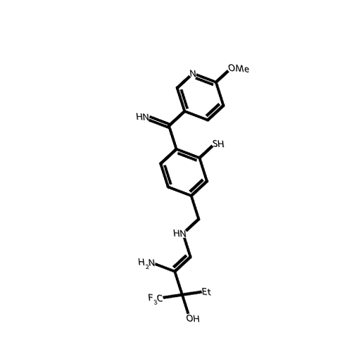 CCC(O)(/C(N)=C/NCc1ccc(C(=N)c2ccc(OC)nc2)c(S)c1)C(F)(F)F